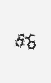 [CH2]CC(c1ccccc1)n1cnc2ncncc21